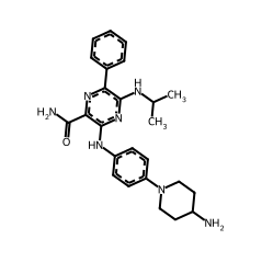 CC(C)Nc1nc(Nc2ccc(N3CCC(N)CC3)cc2)c(C(N)=O)nc1-c1ccccc1